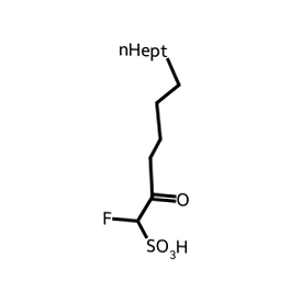 CCCCCCCCCCCC(=O)C(F)S(=O)(=O)O